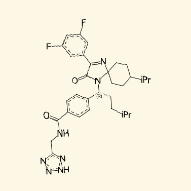 CC(C)CC[C@H](c1ccc(C(=O)NCc2nn[nH]n2)cc1)N1C(=O)C(c2cc(F)cc(F)c2)=NC12CCC(C(C)C)CC2